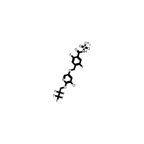 CS(=O)(=O)NC(=O)c1cc(F)c(COc2cnc(OCC(F)(F)C(F)(F)F)c(Cl)c2)cc1F